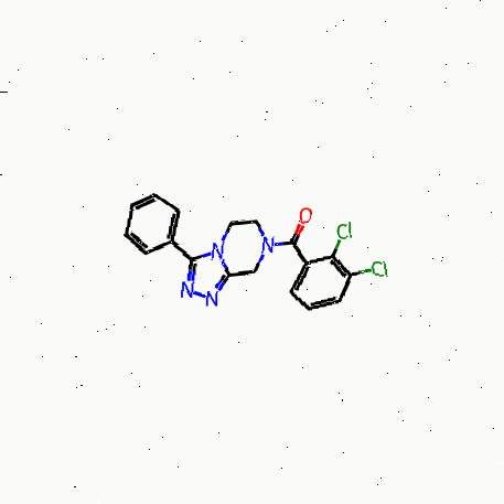 O=C(c1cccc(Cl)c1Cl)N1CCn2c(nnc2-c2ccccc2)C1